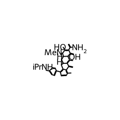 C=C(N)C1=C(O)C(NC)[C@@H]2C[C@@H]3Cc4c(-c5ccc(CNC(C)C)cc5)ccc(C)c4C(=C)C3=C(C)[C@]2(O)C1=C